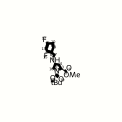 COC(=O)[C@@H]1C[C@@H](NCc2ccc(F)cc2F)CN1C(=O)OC(C)(C)C